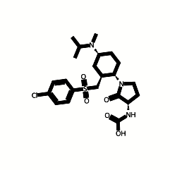 CC(C)N(C)[C@@H]1CC[C@H](N2CC[C@H](NC(=O)O)C2=O)[C@@H](CS(=O)(=O)c2ccc(Cl)cc2)C1